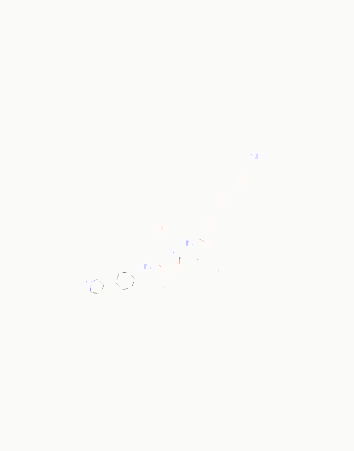 Cc1ncsc1-c1ccc([C@H](C)NC(=O)[C@@H]2C[C@@H](O)CN2C(=O)[C@@H](NC(=O)COCCOCCOCCN)C(C)(C)C)cc1